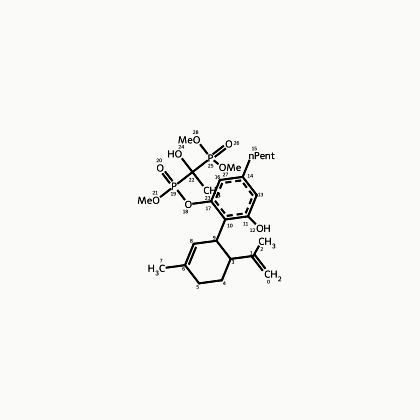 C=C(C)C1CCC(C)=CC1c1c(O)cc(CCCCC)cc1OP(=O)(OC)C(C)(O)P(=O)(OC)OC